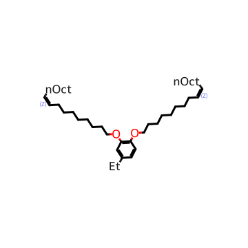 CCCCCCCC/C=C\CCCCCCCCOc1ccc(CC)cc1OCCCCCCCC/C=C\CCCCCCCC